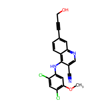 COc1cc(Nc2c(C#N)cnc3cc(C#CCO)ccc23)c(Cl)cc1Cl